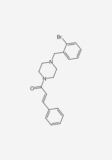 O=C(/C=C/c1ccccc1)N1CCN(Cc2ccccc2Br)CC1